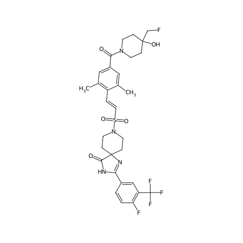 Cc1cc(C(=O)N2CCC(O)(CF)CC2)cc(C)c1/C=C/S(=O)(=O)N1CCC2(CC1)N=C(c1ccc(F)c(C(F)(F)F)c1)NC2=O